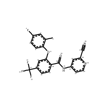 Cc1cc(F)ccc1Oc1cc(C(F)(F)F)ccc1C(=O)Nc1ccnc(C#N)c1